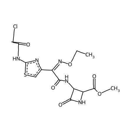 CCON=C(C(=O)NC1C(=O)NC1C(=O)OC)c1csc(NC(=O)CCl)n1